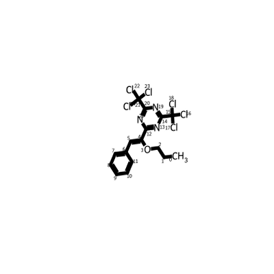 CCCOC(=Cc1ccccc1)c1nc(C(Cl)(Cl)Cl)nc(C(Cl)(Cl)Cl)n1